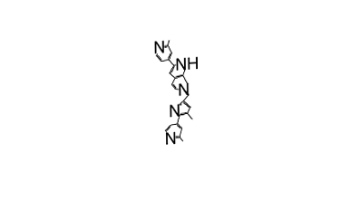 Cc1cc(C2=CC3=C(CN2)CN(Cc2cnc(-c4ccnc(C)c4)c(C)c2)C=C3)ccn1